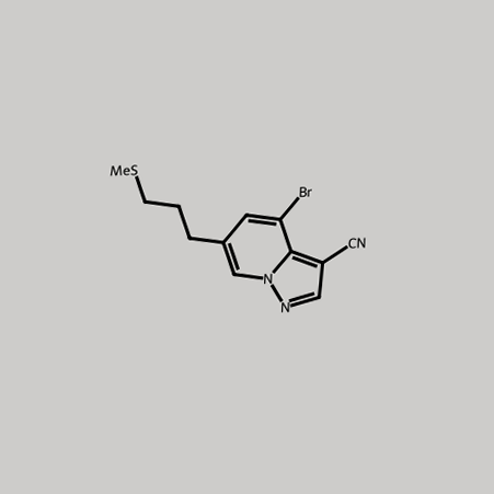 CSCCCc1cc(Br)c2c(C#N)cnn2c1